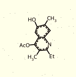 CCc1nc2cc(C)c(O)cc2c(OC(C)=O)c1C